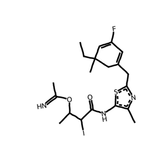 CCC1(C)C=C(F)C=C(Cc2nc(C)c(NC(=O)C(I)C(C)OC(C)=N)s2)C1